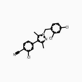 Cc1nn(Cc2ccc(Cl)cc2Cl)c(C)c1-c1ccc(C#N)c(Cl)c1